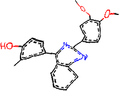 COc1ccc(-c2nc(-c3ccc(O)c(C)c3)c3ccccc3n2)cc1OC